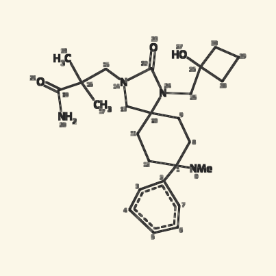 CNC1(c2ccccc2)CCC2(CC1)CN(CC(C)(C)C(N)=O)C(=O)N2CC1(O)CCC1